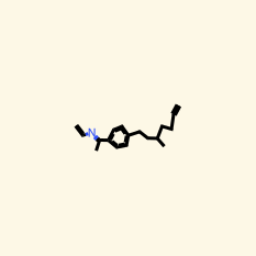 C#CCCC(C)CCc1ccc(/C(C)=N/C=C)cc1